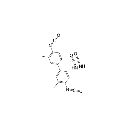 Cc1cc(-c2ccc(N=C=O)c(C)c2)ccc1N=C=O.N=C=O.N=C=O